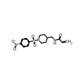 C=CC(=O)NCC1CCN(S(=O)(=O)c2ccc([N+](=O)[O-])cc2)CC1